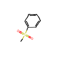 CS(=O)(=O)c1c[c]ccc1